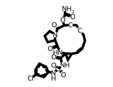 NC(=O)OC1CCCCC/C=C\C2CC2(C(=O)NS(=O)(=O)Nc2cccc(Cl)c2)NC(=O)C2CCCN2C1=O